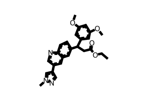 CCOC(=O)CC(c1cc(OC)cc(OC)c1)c1ccc2ncc(-c3cnn(C)c3)cc2c1